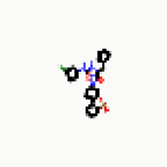 CS(=O)(=O)c1ccccc1-c1ccc(NC(=O)C(Cc2ccccc2)NC(=O)Nc2cccc(Cl)c2)cc1